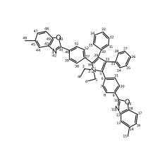 CC[Si]1(CC)C(c2ccc(-c3nc4cc(C)ccc4o3)cc2)=C(c2ccccc2)C(c2ccccc2)=C1c1ccc(-c2nc3cc(C)ccc3o2)cc1